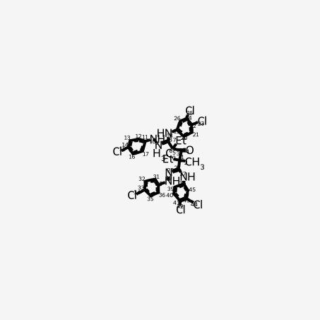 CCC(C)(C(=O)C(C)(CC)C(=NNc1ccc(Cl)cc1)Nc1ccc(Cl)c(Cl)c1)C(=NNc1ccc(Cl)cc1)Nc1ccc(Cl)c(Cl)c1